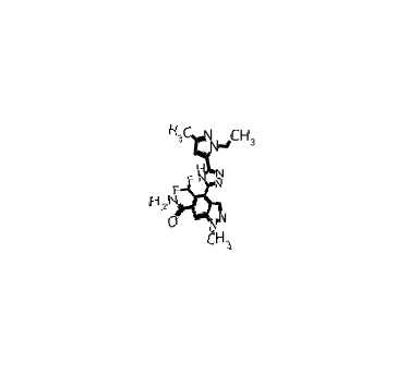 CCn1nc(C)cc1-c1nnc(-c2c(C(F)F)c(C(N)=O)cc3c2cnn3C)[nH]1